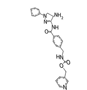 NC1CN(c2ccccc2)N=C1NC(=O)c1ccc(CNC(=O)OCc2cccnc2)cc1